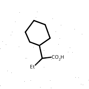 CCC([C]1CCCCC1)C(=O)O